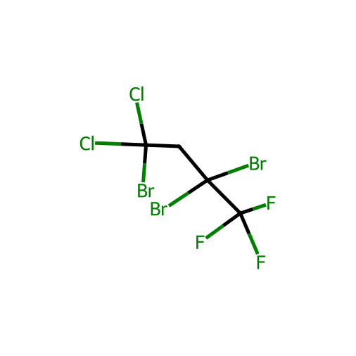 FC(F)(F)C(Br)(Br)CC(Cl)(Cl)Br